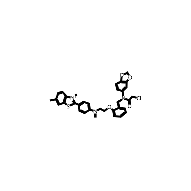 Cc1ccc2c(c1)sc(-c1ccc(N(C)CCOc3ccccc3CN(C(=O)CCl)c3ccc4c(c3)OCO4)cc1)[n+]2C